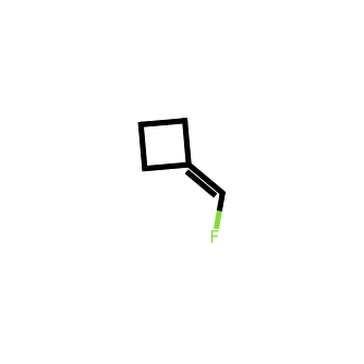 FC=C1CCC1